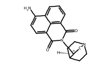 Nc1ccc2c3c(cccc13)C(=O)N([C@H]1CN3CCC1CC3)C2=O